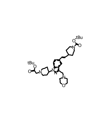 CC(C)(C)OC(=O)CN1CCC(n2nc(CN3CCOCC3)c3cc(C=CC4CCN(C(=O)OC(C)(C)C)CC4)ccc32)CC1